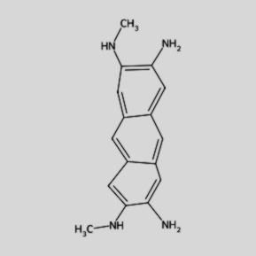 CNc1cc2cc3cc(NC)c(N)cc3cc2cc1N